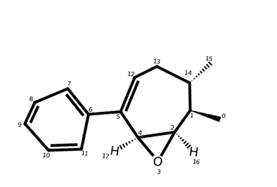 C[C@H]1[C@H]2O[C@H]2C(c2ccccc2)=CC[C@@H]1C